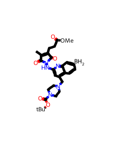 Bc1ccc2c(CN3CCN(C(=O)OC(C)(C)C)CC3)cc(NN3C(=O)C(C)=C(CCC(=O)OC)C3=O)nc2c1